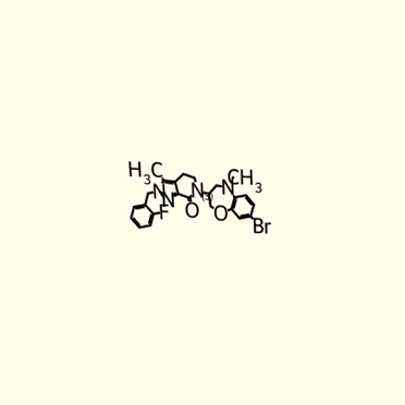 Cc1c2c(nn1Cc1ccccc1F)C(=O)N([C@@H]1COc3cc(Br)ccc3N(C)C1)CC2